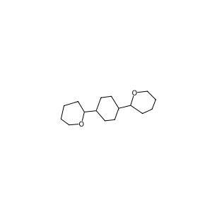 C1CCC([C]2CCC(C3CCCCO3)CC2)OC1